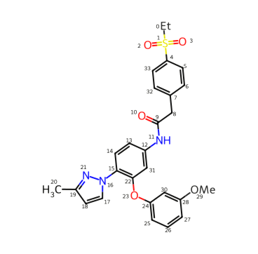 CCS(=O)(=O)c1ccc(CC(=O)Nc2ccc(-n3ccc(C)n3)c(Oc3cccc(OC)c3)c2)cc1